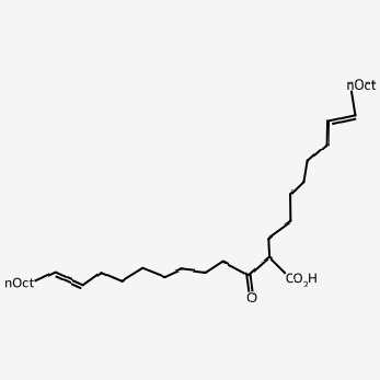 CCCCCCCCC=CCCCCCCCC(=O)C(CCCCCCC=CCCCCCCCC)C(=O)O